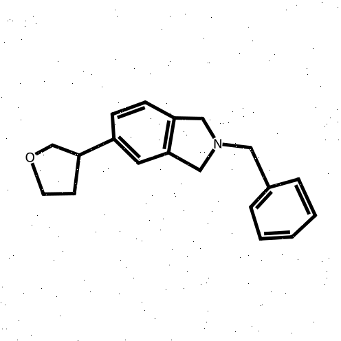 c1ccc(CN2Cc3ccc(C4CCOC4)cc3C2)cc1